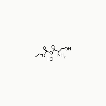 CCOC(=O)OC(=O)C(N)CO.Cl